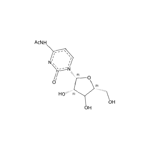 CC(=O)Nc1ccn([C@@H]2O[C@H](CO)C(O)[C@@H]2O)c(=O)n1